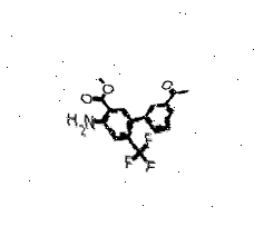 COC(=O)c1cc(-c2cccc(C(C)=O)c2)c(C(F)(F)F)cc1N